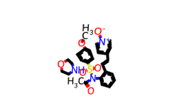 C1COCCN1.COc1ccc(S(=O)(=O)N(C(C)=O)c2ccccc2C=Cc2cc[n+]([O-])cc2)cc1